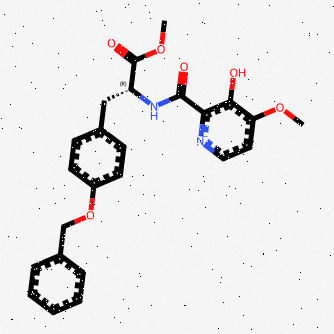 COC(=O)[C@@H](Cc1ccc(OCc2ccccc2)cc1)NC(=O)c1nccc(OC)c1O